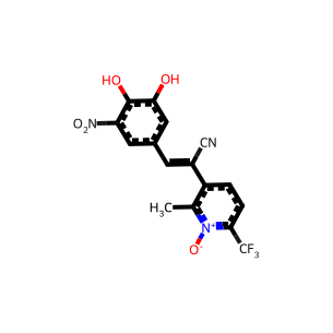 Cc1c(C(C#N)=Cc2cc(O)c(O)c([N+](=O)[O-])c2)ccc(C(F)(F)F)[n+]1[O-]